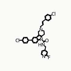 O=C(NCc1ccnc(F)c1)n1c2c(c3cc(-c4ccc(Cl)cc4)ccc31)CN(CC=Cc1ccc(Cl)cc1)CC2